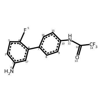 Nc1ccc(F)c(-c2ccc(NC(=O)C(F)(F)F)cc2)c1